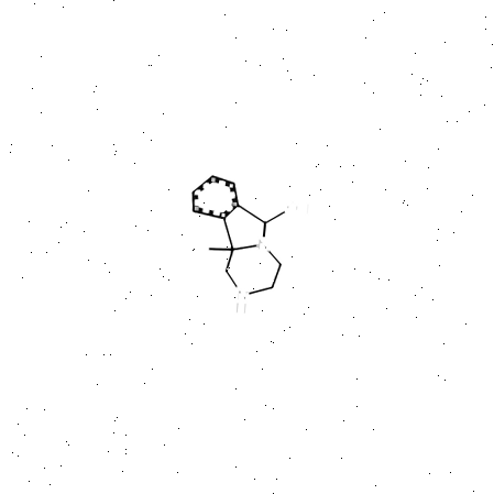 CC12CNCCN1C(O)c1ccccc12